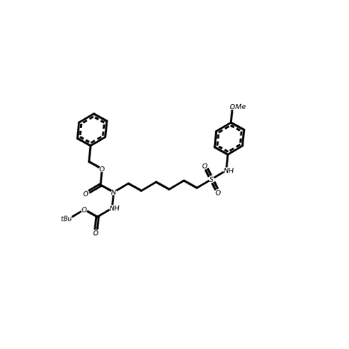 COc1ccc(NS(=O)(=O)CCCCCCN(NC(=O)OC(C)(C)C)C(=O)OCc2ccccc2)cc1